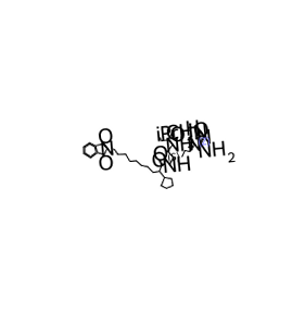 CC(C)CC(C=O)NC(=O)[C@H](CCCN/C(N)=N\[N+](=O)[O-])NC(=O)C(CCCCCCCCN1C(=O)c2ccccc2C1=O)C1CCCC1